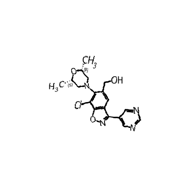 C[C@@H]1CN(c2c(CO)cc3c(-c4cncnc4)noc3c2Cl)C[C@H](C)O1